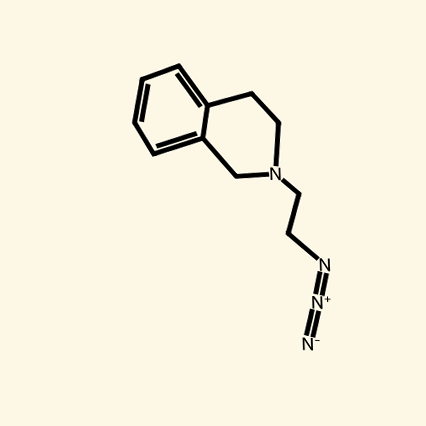 [N-]=[N+]=NCCN1CCc2ccccc2C1